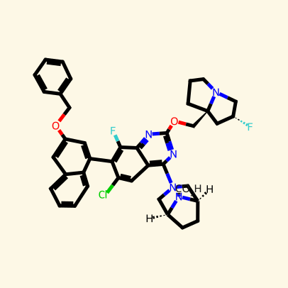 O=C(O)N1[C@@H]2CC[C@H]1CN(c1nc(OC[C@@]34CCCN3C[C@H](F)C4)nc3c(F)c(-c4cc(OCc5ccccc5)cc5ccccc45)c(Cl)cc13)C2